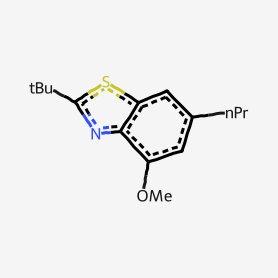 CCCc1cc(OC)c2nc(C(C)(C)C)sc2c1